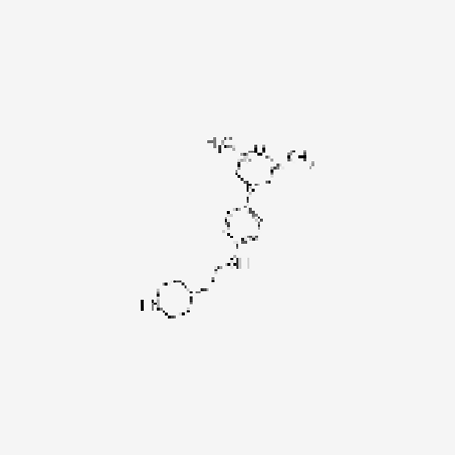 C[C@@H]1CN(c2ccc(NCCC3CCNCC3)cc2)C[C@H](C)O1